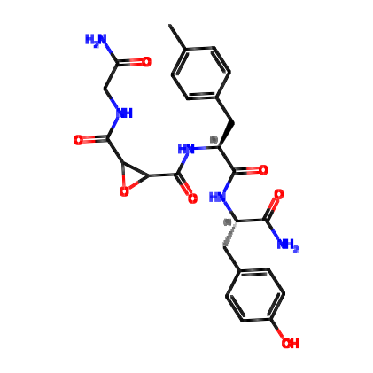 Cc1ccc(C[C@H](NC(=O)C2OC2C(=O)NCC(N)=O)C(=O)N[C@@H](Cc2ccc(O)cc2)C(N)=O)cc1